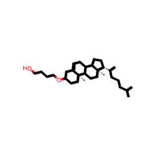 CC(C)CCCC(C)[C@H]1CCC2C3CC=C4CC(OCCCCO)CC[C@]4(C)C3CC[C@@]21C